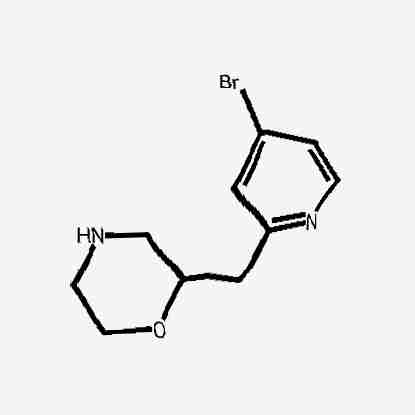 Brc1ccnc(CC2CNCCO2)c1